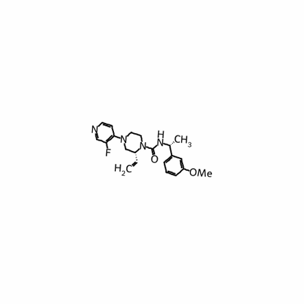 C=C[C@@H]1CN(c2ccncc2F)CCN1C(=O)N[C@H](C)c1cccc(OC)c1